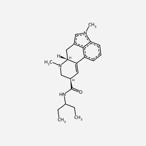 CCC(CC)NC(=O)[C@@H]1C=C2c3cccc4c3c(cn4C)C[C@H]2N(C)C1